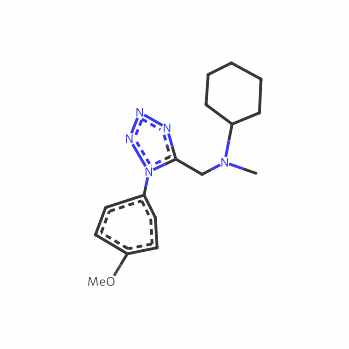 COc1ccc(-n2nnnc2CN(C)C2CCCCC2)cc1